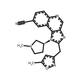 Cc1cc(Cc2nc3cnc4ccc(C#N)cc4c3n2[C@H]2CCN(C)C2)no1